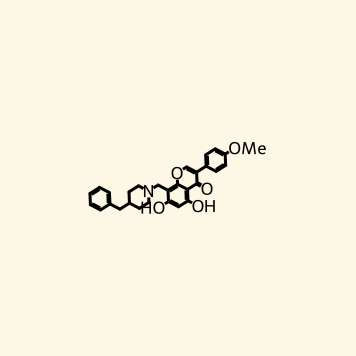 COc1ccc(-c2coc3c(CN4CCC(Cc5ccccc5)CC4)c(O)cc(O)c3c2=O)cc1